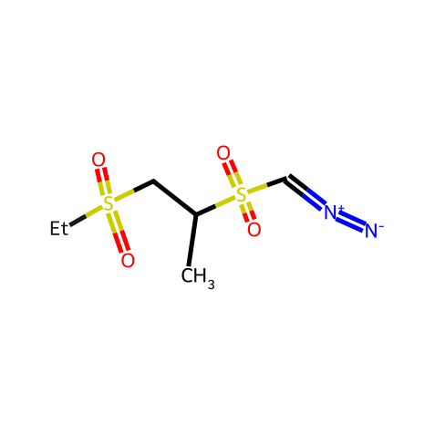 CCS(=O)(=O)CC(C)S(=O)(=O)C=[N+]=[N-]